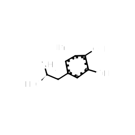 Br.C[C@@H](N)Cc1ccc(O)c(O)c1